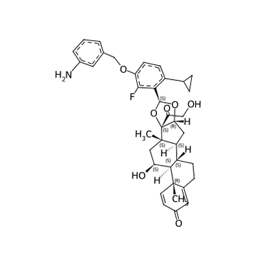 C[C@]12C=CC(=O)C=C1CC[C@@H]1[C@@H]2[C@@H](O)C[C@@]2(C)[C@H]1C[C@H]1O[C@H](c3c(C4CC4)ccc(OCc4cccc(N)c4)c3F)O[C@]12C(=O)CO